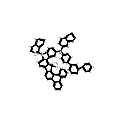 CC1(C)c2c(ccc3c4ccccc4c4ccccc4c23)-c2ccc3c(c21)c1cc(N(c2ccc(-c4cccc(-c5ccccc5)c4)cc2)c2ccc4ccccc4c2)ccc1n3-c1nccc2ccccc12